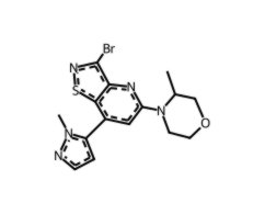 CC1COCCN1c1cc(-c2ccnn2C)c2snc(Br)c2n1